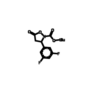 CC(C)(C)OC(=O)N1OC(=O)CC1c1cc(F)cc(F)c1